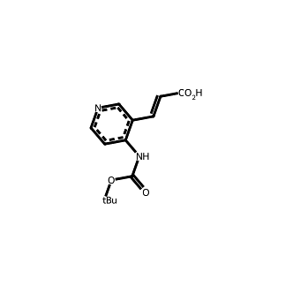 CC(C)(C)OC(=O)Nc1ccncc1C=CC(=O)O